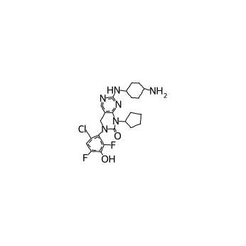 NC1CCC(Nc2ncc3c(n2)N(C2CCCC2)C(=O)N(c2c(Cl)cc(F)c(O)c2F)C3)CC1